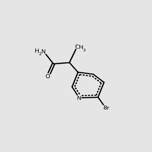 CC(C(N)=O)c1ccc(Br)nc1